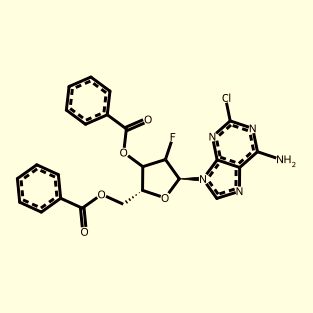 Nc1nc(Cl)nc2c1ncn2[C@H]1O[C@H](COC(=O)c2ccccc2)C(OC(=O)c2ccccc2)C1F